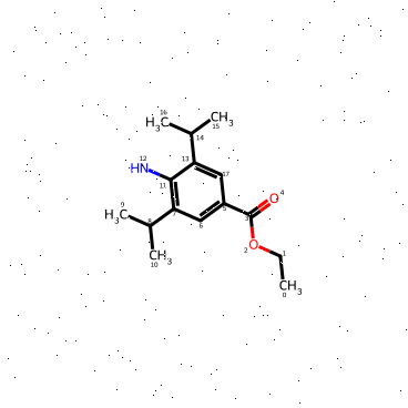 CCOC(=O)c1cc(C(C)C)c([NH])c(C(C)C)c1